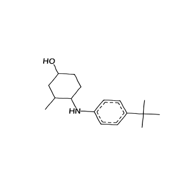 CC1CC(O)CCC1Nc1ccc(C(C)(C)C)cc1